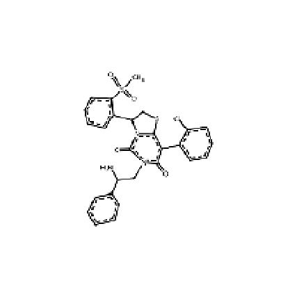 CS(=O)(=O)c1ccccc1C1CSc2c(-c3ccccc3Cl)c(=O)n(CC(N)c3ccccc3)c(=O)n21